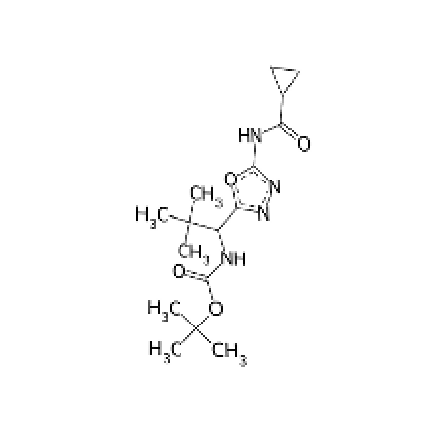 CC(C)(C)OC(=O)NC(c1nnc(NC(=O)C2CC2)o1)C(C)(C)C